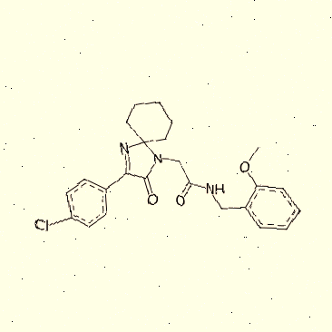 COc1ccccc1CNC(=O)CN1C(=O)C(c2ccc(Cl)cc2)=NC12CCCCC2